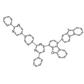 c1ccc(-c2cc(-c3ccc(-c4ccc5c(c4)sc4ccccc45)c4c3oc3ccccc34)nc(-c3ccc(-c4cnc(-c5ccccc5)nc4)cc3)n2)cc1